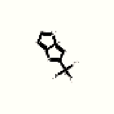 FC(F)(F)C1=NC2=CC=NC2=C1